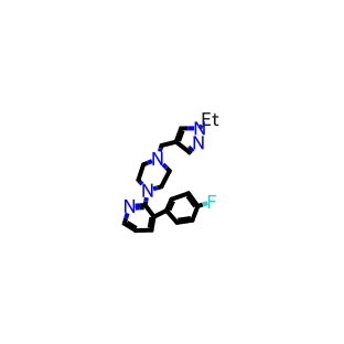 CCn1cc(CN2CCN(c3ncccc3-c3ccc(F)cc3)CC2)cn1